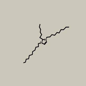 CCCCCCCCCCCN1C=CN(CCCCCCCCCC)C1CCCCCC